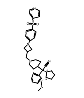 CSC[C@H]1CCC[C@@H]1C(C#N)(c1ccccc1)C1CCN(CC2CN(c3ccc(S(=O)(=O)c4ccncc4)cc3)C2)CC1